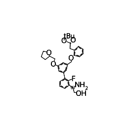 CC(C)(C)OC(=O)Cc1ccccc1OCc1cc(OCC2CCCO2)cc(-c2cccc([C@H](N)CO)c2F)c1